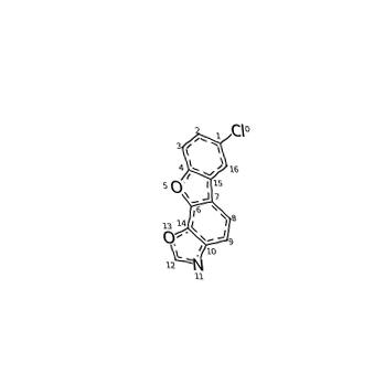 Clc1ccc2oc3c(ccc4ncoc43)c2c1